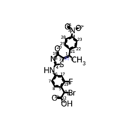 C/C(=C1\SC(Nc2ccc(C(Br)C(=O)O)c(F)c2)=NC1=O)c1ccc([N+](=O)[O-])cc1